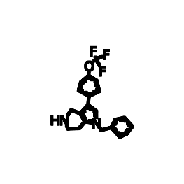 FC(F)(F)Oc1ccc(-c2cn(Cc3ccccc3)c3c2CNCC3)cc1